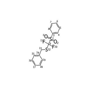 O=S(=O)(c1ccccc1)C(F)(F)SCc1ccccc1